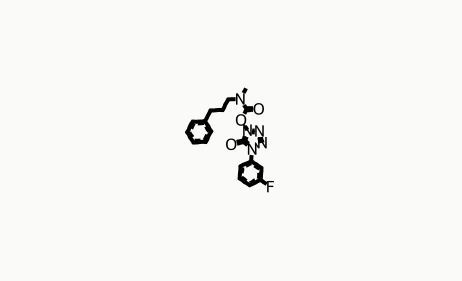 CN(CCCc1ccccc1)C(=O)On1nnn(-c2cccc(F)c2)c1=O